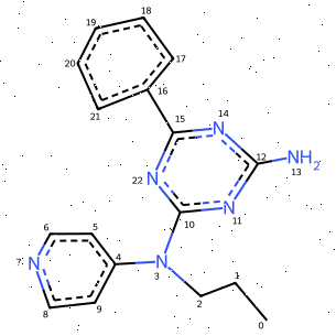 CCCN(c1ccncc1)c1nc(N)nc(-c2ccccc2)n1